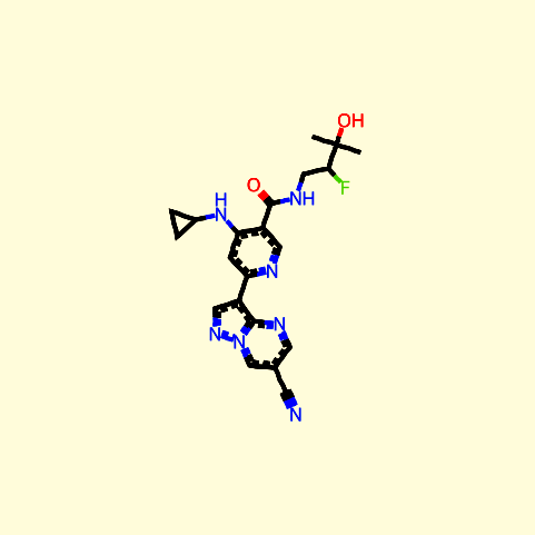 CC(C)(O)C(F)CNC(=O)c1cnc(-c2cnn3cc(C#N)cnc23)cc1NC1CC1